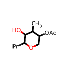 CC(=O)OC1COC(C(C)C)C(O)C1C